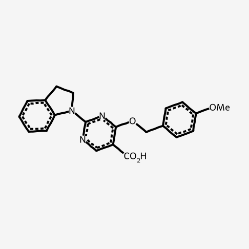 COc1ccc(COc2nc(N3CCc4ccccc43)ncc2C(=O)O)cc1